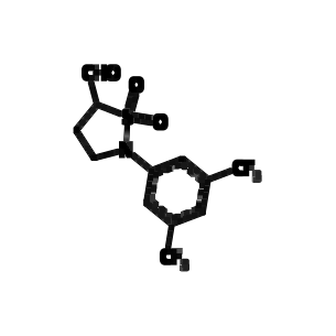 O=CC1CCN(c2cc(C(F)(F)F)cc(C(F)(F)F)c2)S1(=O)=O